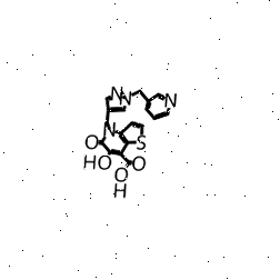 O=C(O)c1c(O)c(=O)n(Cc2cnn(Cc3cccnc3)c2)c2ccsc12